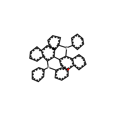 c1ccc(P(c2ccccc2)c2c(-c3ccc4ccccc4c3P(c3ccccc3)c3ccccc3)ccc3ccccc23)cc1